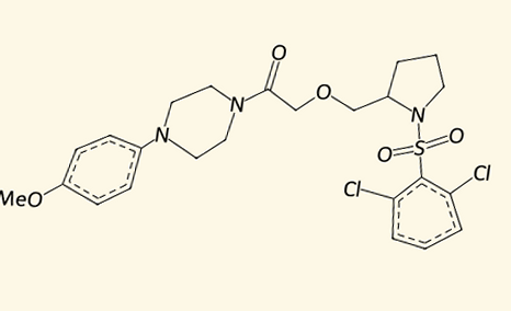 COc1ccc(N2CCN(C(=O)COCC3CCCN3S(=O)(=O)c3c(Cl)cccc3Cl)CC2)cc1